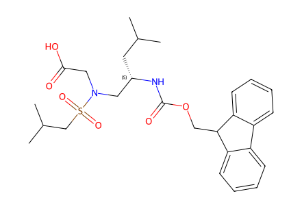 CC(C)C[C@@H](CN(CC(=O)O)S(=O)(=O)CC(C)C)NC(=O)OCC1c2ccccc2-c2ccccc21